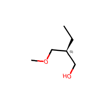 CC[C@@H](CO)COC